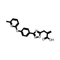 C=C(Cc1nc(-c2ccc(Oc3cccc(C)n3)cc2)no1)C(=O)O